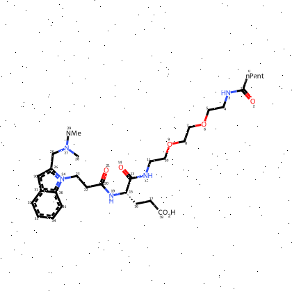 CCCCCC(=O)NCCOCCOCCNC(=O)[C@H](CCC(=O)O)NC(=O)CCn1c(CN(C)NC)cc2ccccc21